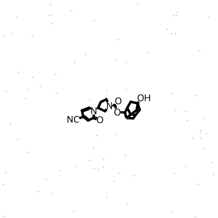 N#Cc1ccn([C@@H]2CCN(C(=O)OC3C4CC5CC3CC(O)(C5)C4)C2)c(=O)c1